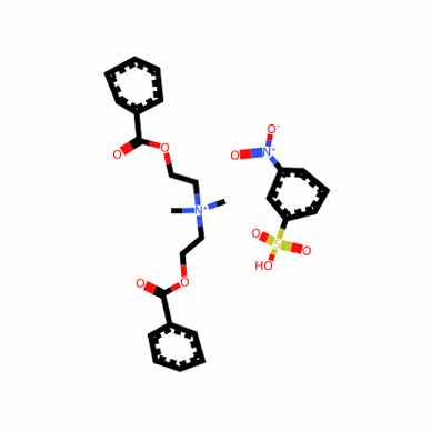 C[N+](C)(CCOC(=O)c1ccccc1)CCOC(=O)c1ccccc1.O=[N+]([O-])c1cccc(S(=O)(=O)O)c1